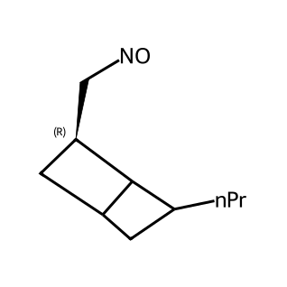 CCCC1CC2C[C@@H](CN=O)C12